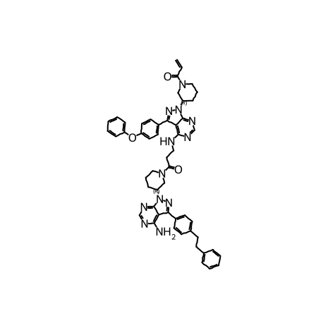 C=CC(=O)N1CCC[C@@H](n2nc(-c3ccc(Oc4ccccc4)cc3)c3c(NCCC(=O)N4CCC[C@@H](n5nc(-c6ccc(CCc7ccccc7)cc6)c6c(N)ncnc65)C4)ncnc32)C1